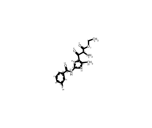 CCOC(=O)C(N)C(=O)c1sc(NC(=O)c2cccc(F)c2)nc1C